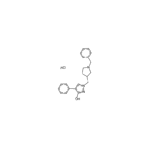 Cl.Oc1nn(CC2CCN(Cc3ccccc3)C2)cc1-c1ccccc1